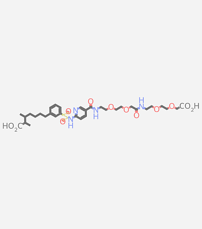 CC(CCCCc1cccc(S(=O)(=O)Nc2ccc(C(=O)NCCOCCOCC(=O)NCCOCCOCC(=O)O)cn2)c1)C(C)C(=O)O